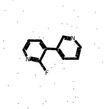 Fc1nc[c]cc1-c1cccnc1